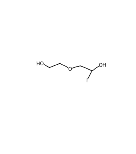 OCCOCC(O)I